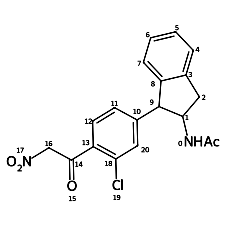 CC(=O)NC1Cc2ccccc2C1c1ccc(C(=O)C[N+](=O)[O-])c(Cl)c1